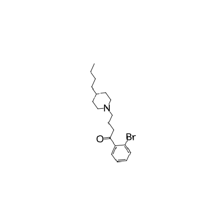 CCCCC1CCN(CCCC(=O)c2ccccc2Br)CC1